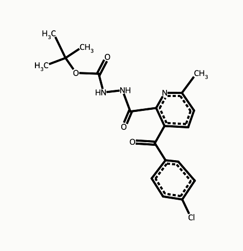 Cc1ccc(C(=O)c2ccc(Cl)cc2)c(C(=O)NNC(=O)OC(C)(C)C)n1